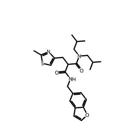 Cc1nc(CC(C(=O)NCc2ccc3occc3c2)C(=O)N(CC(C)C)CC(C)C)cs1